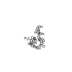 C#CCOc1cc(-n2nc3n(c2=O)CCCC3)c(Cl)cc1Cl.CCC(CC)Nc1c([N+](=O)[O-])cc(C)c(C)c1[N+](=O)[O-].O=C(O)CNCP(=O)(O)O